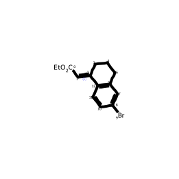 CCOC(=O)/C=C1\CCCc2cc(Br)ccc21